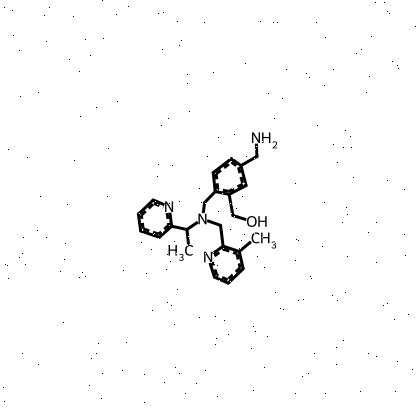 Cc1cccnc1CN(Cc1ccc(CN)cc1CO)C(C)c1ccccn1